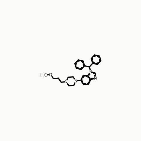 COCCCN1CCN(c2ccc3ncn(C(c4ccccc4)c4ccccc4)c3c2)CC1